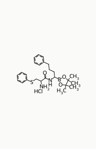 CC1(C)OB(C(CCCc2ccccc2)NC(=O)C(N)CSc2ccccc2)OC1(C)C.Cl